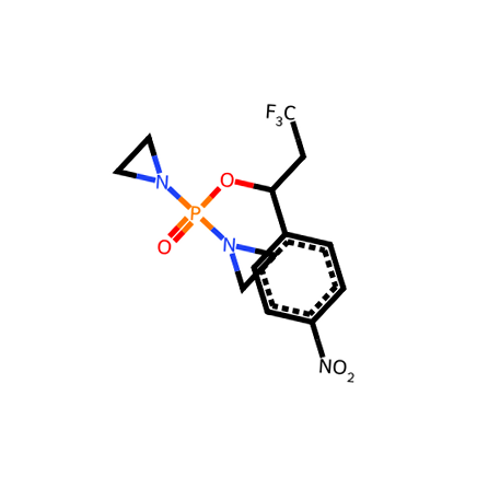 O=[N+]([O-])c1ccc(C(CC(F)(F)F)OP(=O)(N2CC2)N2CC2)cc1